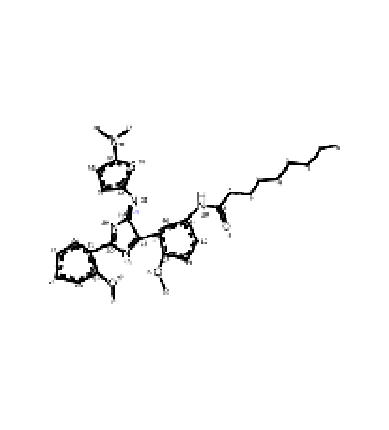 CCCCCCCCC(=O)Nc1ccc(OC)c(C2=NC(c3ccccc3OC)=N/C2=N\c2ccc(N(C)C)s2)c1